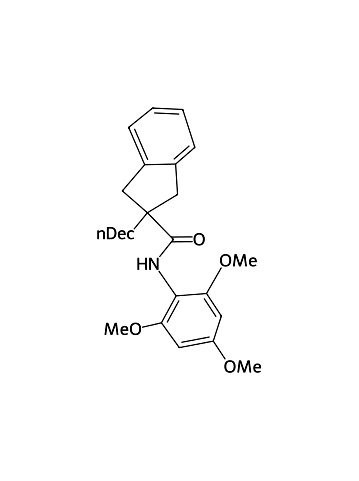 CCCCCCCCCCC1(C(=O)Nc2c(OC)cc(OC)cc2OC)Cc2ccccc2C1